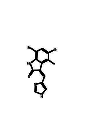 Cc1c(Br)cc(Br)c2c1C(=Cc1c[nH]cn1)C(=O)N2